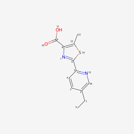 CCc1ccc(-c2nc(C(=O)O)c(C)s2)nc1